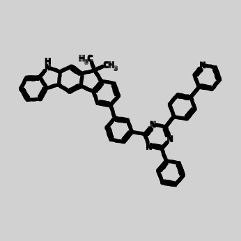 CC1(C)C2=CC3Nc4ccccc4C3C=C2c2cc(-c3cccc(-c4nc(-c5ccccc5)nc(C5C=CC(c6cccnc6)=CC5)n4)c3)ccc21